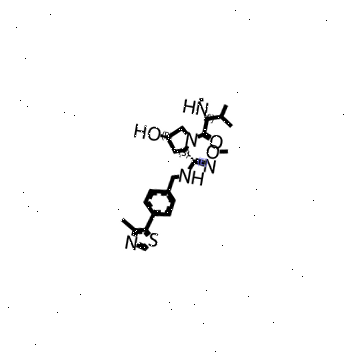 CN[C@H](C(=O)N1C[C@H](O)C[C@H]1/C(=N\OC)NCc1ccc(-c2scnc2C)cc1)C(C)C